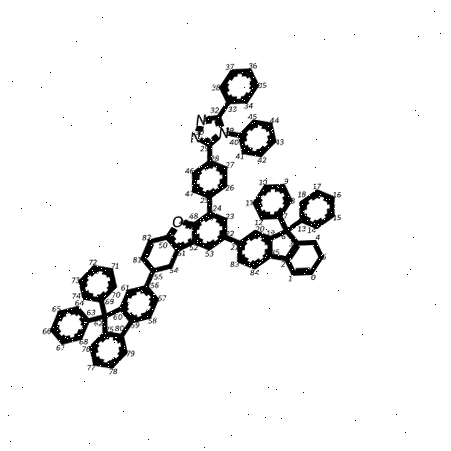 C1=CC2=C(CC1)C(c1ccccc1)(c1ccccc1)c1cc(-c3cc(-c4ccc(-c5nnc(-c6ccccc6)n5-c5ccccc5)cc4)c4oc5c(c4c3)CC(c3ccc4c(c3)C(c3ccccc3)(c3ccccc3)c3ccccc3-4)C=C5)ccc12